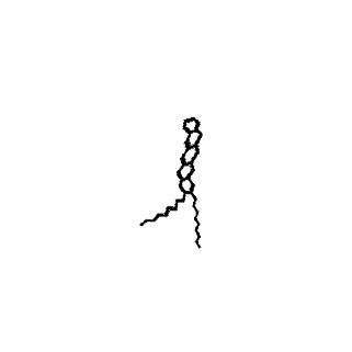 CCCCCCCCCc1cc2cc3cc4cc5ccccc5cc4cc3cc2cc1CCCCCCCCC